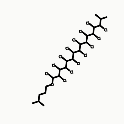 CC(C)CCCOC(Cl)C(Cl)C(Cl)C(Cl)C(Cl)C(Cl)C(Cl)C(Cl)C(Cl)C(Cl)C(Cl)C(Cl)C(Cl)C(Cl)C(C)C